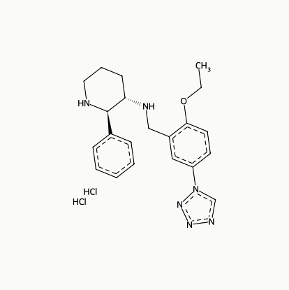 CCOc1ccc(-n2cnnn2)cc1CN[C@H]1CCCN[C@@H]1c1ccccc1.Cl.Cl